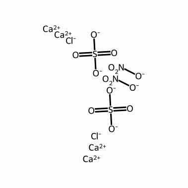 O=S(=O)([O-])[O-].O=S(=O)([O-])[O-].O=[N+]([O-])[O-].O=[N+]([O-])[O-].[Ca+2].[Ca+2].[Ca+2].[Ca+2].[Cl-].[Cl-]